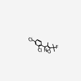 Cc1c(-c2ccc(Cl)cc2Cl)noc1C(C)(C)F